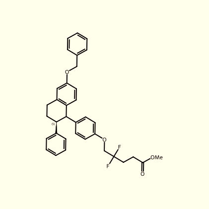 COC(=O)CCC(F)(F)COc1ccc(C2c3ccc(OCc4ccccc4)cc3CC[C@@H]2c2ccccc2)cc1